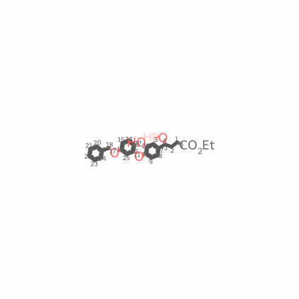 CCOC(=O)CCC1OBc2c1ccc(Oc1cccc(OCc3ccccc3)c1)c2O